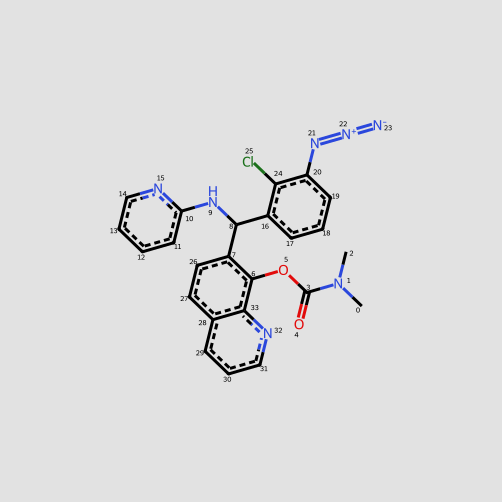 CN(C)C(=O)Oc1c(C(Nc2ccccn2)c2cccc(N=[N+]=[N-])c2Cl)ccc2cccnc12